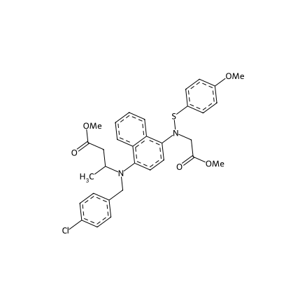 COC(=O)CC(C)N(Cc1ccc(Cl)cc1)c1ccc(N(CC(=O)OC)Sc2ccc(OC)cc2)c2ccccc12